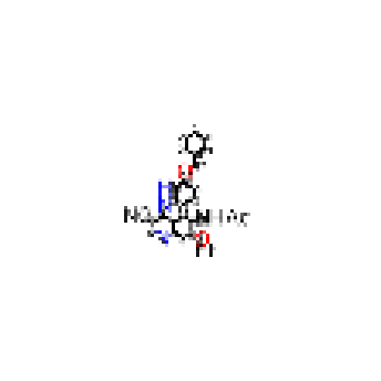 CCOc1cc2ncc(C#N)c(Nc3cccc(OCc4ccccc4)c3)c2cc1NC(C)=O